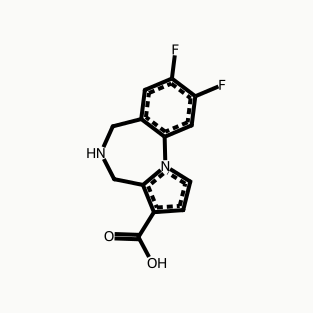 O=C(O)c1ccn2c1CNCc1cc(F)c(F)cc1-2